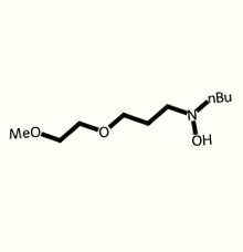 CCCCN(O)CCCOCCOC